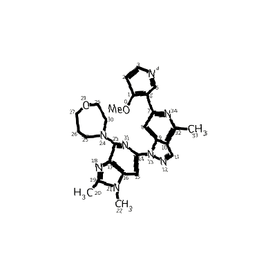 COc1ccncc1-c1cc2c(cnn2-c2cc3c(nc(C)n3C)c(N3CCCOCC3)n2)c(C)n1